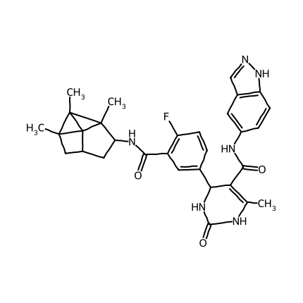 CC1=C(C(=O)Nc2ccc3[nH]ncc3c2)C(c2ccc(F)c(C(=O)NC3CC4CC5(C)C6(C)C3(C)C456)c2)NC(=O)N1